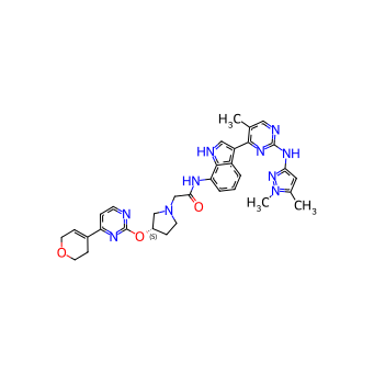 Cc1cnc(Nc2cc(C)n(C)n2)nc1-c1c[nH]c2c(NC(=O)CN3CC[C@H](Oc4nccc(C5=CCOCC5)n4)C3)cccc12